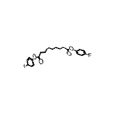 O=C(CCCCCCCC(=O)Oc1ccc(F)cc1)Oc1ccc(F)cc1